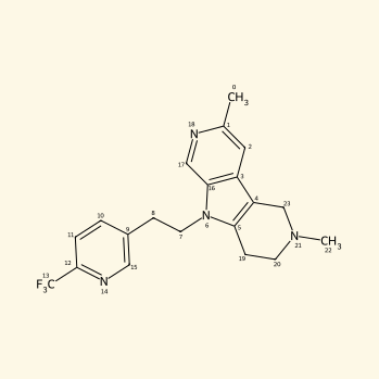 Cc1cc2c3c(n(CCc4ccc(C(F)(F)F)nc4)c2cn1)CCN(C)C3